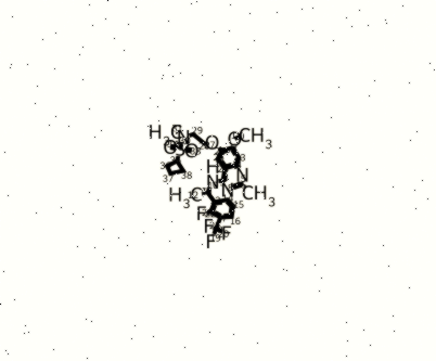 COc1cc2nc(C)nc(N[C@H](C)c3cccc(C(F)(F)F)c3F)c2cc1OCCN(C)S(=O)(=O)C1CCC1